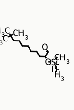 C[SiH](C)OC(C=O)CCCCCCCC(C)(C)C